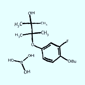 CC(C)COc1ccc(OC(C)(C)C(C)(C)O)cc1F.OB(O)O